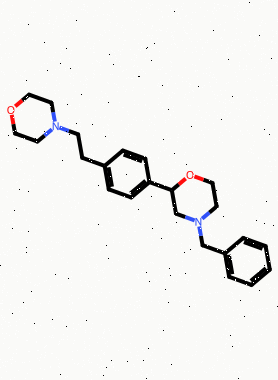 c1ccc(CN2CCOC(c3ccc(CCN4CCOCC4)cc3)C2)cc1